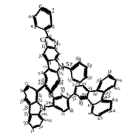 c1ccc(-c2nc3cc4c(cc3o2)c2cc(-c3cccc5c6ccccc6n(-c6ccc(-c7ccc8c9ccccc9c9ccccc9c8c7)cc6)c35)ccc2n4-c2ccccc2)cc1